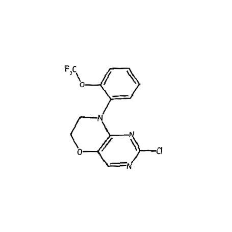 FC(F)(F)Oc1ccccc1N1CCOc2cnc(Cl)nc21